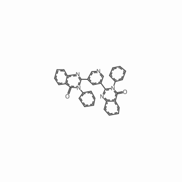 O=c1c2ccccc2nc(-c2cncc(-c3nc4ccccc4c(=O)n3-c3ccccc3)c2)n1-c1ccccc1